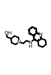 OCC1CCN(CCNc2c3c(nc4ccccc24)CCCC3)CC1